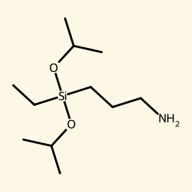 CC[Si](CCCN)(OC(C)C)OC(C)C